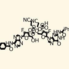 CC(C)C(=O)Nc1nc2c(ncn2C2OC(COP(=O)(OCCC#N)O[C@@H]3C(CO)OC(n4cnc5c(NC(=O)c6ccccc6)ncnc54)[C@@H]3F)[C@@H](P(=O)(O)OCCC#N)[C@H]2F)c(=O)[nH]1